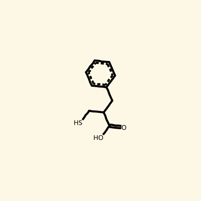 O=C(O)C(CS)Cc1ccccc1